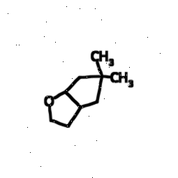 CC1(C)CC2CCOC2C1